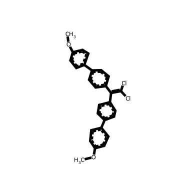 COc1ccc(-c2ccc(C(=C(Cl)Cl)c3ccc(-c4ccc(OC)cc4)cc3)cc2)cc1